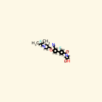 CCC(F)(CC)CN1CCC(COc2ccc(-c3ccc(C(=O)N4CC[C@H](O)C4)cc3F)cc2C#N)CC1